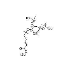 C[C@@H]1O[C@@H](OC(C)(C)CCC=CC(=O)OC(C)(C)C)[C@H](O[Si](C)(C)C(C)(C)C)C[C@H]1O[Si](C)(C)C(C)(C)C